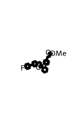 COC(=O)/C=C/c1cccc(N(Cc2ccc(-c3ccc(F)cc3)cc2)C(=O)C2CCCCC2)c1